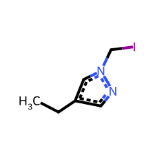 CCc1cnn(CI)c1